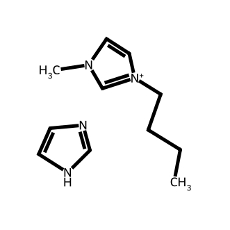 CCCC[n+]1ccn(C)c1.c1c[nH]cn1